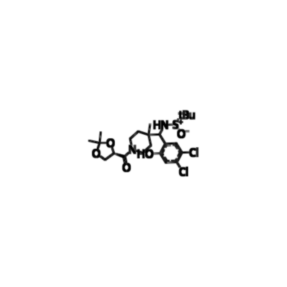 CC1(C)OC[C@H](C(=O)N2CCC(C)(C(N[S+]([O-])C(C)(C)C)c3cc(Cl)c(Cl)cc3O)CC2)O1